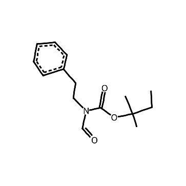 CCC(C)(C)OC(=O)N(C=O)CCc1ccccc1